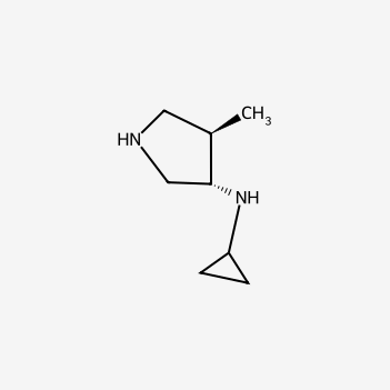 C[C@@H]1CNC[C@H]1NC1CC1